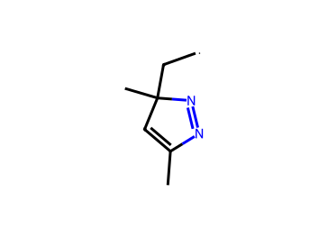 [CH2]CC1(C)C=C(C)N=N1